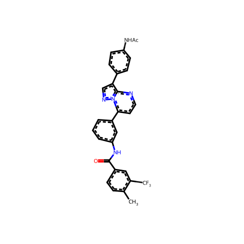 CC(=O)Nc1ccc(-c2cnn3c(-c4cccc(NC(=O)c5ccc(C)c(C(F)(F)F)c5)c4)ccnc23)cc1